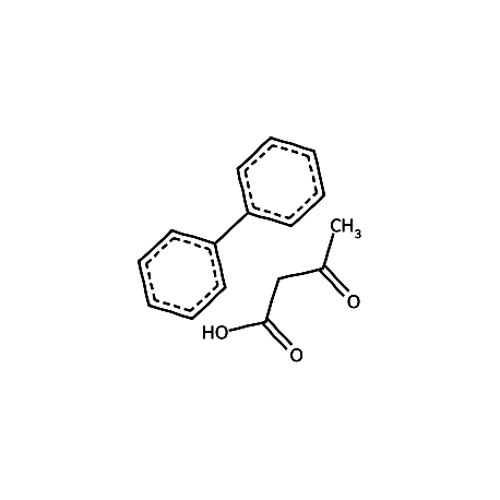 CC(=O)CC(=O)O.c1ccc(-c2ccccc2)cc1